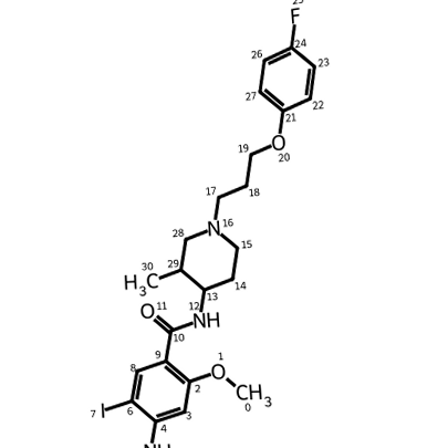 COc1cc(N)c(I)cc1C(=O)NC1CCN(CCCOc2ccc(F)cc2)CC1C